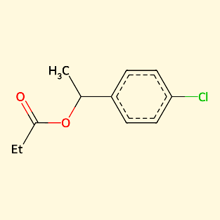 CCC(=O)OC(C)c1ccc(Cl)cc1